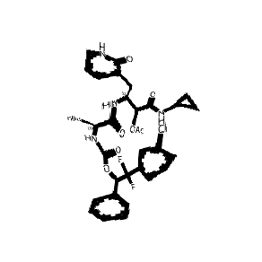 CCCC[C@H](NC(=O)OC(c1ccccc1)C(F)(F)c1cccc(Cl)c1)C(=O)N[C@@H](Cc1ccc[nH]c1=O)C(OC(C)=O)C(=O)NC1CC1